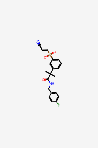 CC(C)(C(=O)NCc1ccc(F)cc1)c1cccc(S(=O)(=O)/C=C/C#N)c1